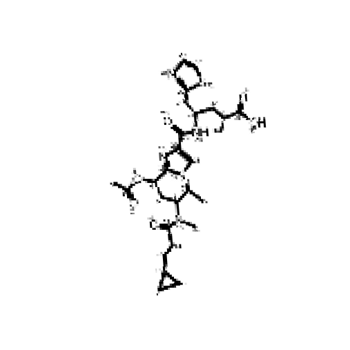 CC(=O)O[C@H](CC(C(C)C)N(C)C(=O)CCC1CC1)c1nc(C(=O)N[C@@H](Cc2nccs2)C[C@H](C)C(=O)O)cs1